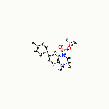 Cc1ccc(-c2ccc3c(c2)N(C(=O)OC(C)C)CC(C)N3C)cc1